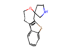 c1ccc2c3c(sc2c1)C1(CCNC1)OCC3